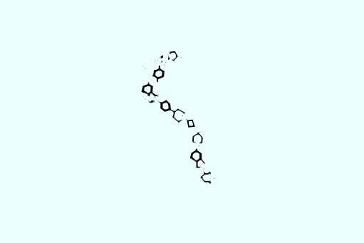 N#Cc1c(NS(=O)(=O)N2CC[C@@H](F)C2)ccc(F)c1Oc1ccc2ncn(-c3ccc(C4CCN([C@H]5C[C@H](OC6CCN(c7ccc8c(c7)CN(C7CCC(=O)NC7=O)C8=O)CC6)C5)CC4)cc3)c(=O)c2c1